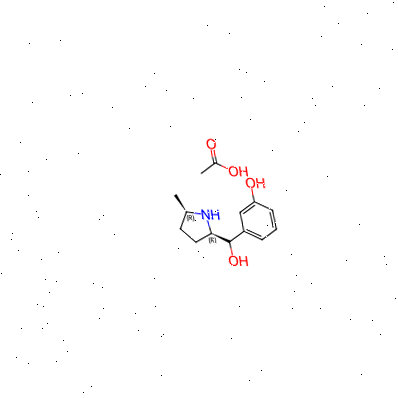 CC(=O)O.C[C@@H]1CC[C@H](C(O)c2cccc(O)c2)N1